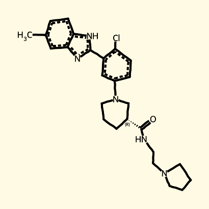 Cc1ccc2[nH]c(-c3cc(N4CCC[C@@H](C(=O)NCCN5CCCC5)C4)ccc3Cl)nc2c1